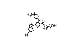 CC1(N)CCC(Nc2cc(-c3ccc4cc(C#N)cnn34)ncc2C(=O)NCC(F)C(C)(C)O)CC1